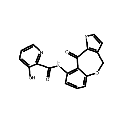 O=C(Nc1cccc2c1C(=O)c1sccc1CO2)c1ncccc1O